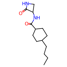 CCCCC1CCC(C(=O)NC2CNC2=O)CC1